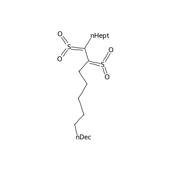 CCCCCCCCCCCCCCCC(C(CCCCCCC)=S(=O)=O)=S(=O)=O